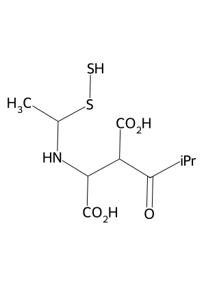 CC(NC(C(=O)O)C(C(=O)O)C(=O)C(C)C)SS